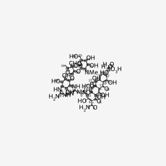 CN(C)[C@@H]1C(O)=C(C(N)=O)C(=O)[C@@]2(O)C(O)=C3C(=O)c4c(O)cccc4[C@@](C)(O)[C@H]3[C@H](O)[C@@H]12.CN[C@@H]1[C@H](O[C@H]2[C@H](O[C@H]3[C@H](O)[C@@H](O)[C@H](NC(=N)N)[C@@H](O)[C@@H]3NC(=N)N)O[C@@H](C)[C@]2(O)C=O)O[C@@H](CO)[C@H](O)[C@H]1O.O.O.O=S(=O)(O)O